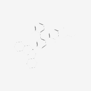 CSCC[C@H](NC(=O)c1ccc(C(CC2CCCCC2)(CC2CCCCC2)[PH2]=S)cc1-c1ccccc1C)C(=O)O